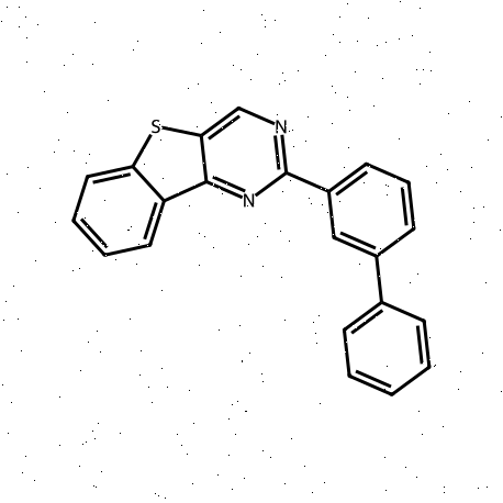 c1ccc(-c2cccc(-c3ncc4sc5ccccc5c4n3)c2)cc1